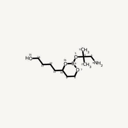 CC(C)(CN)OB1OCCC(CCCCO)O1